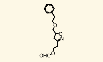 O=COCCC1=NOC(COCCc2ccccc2)C1